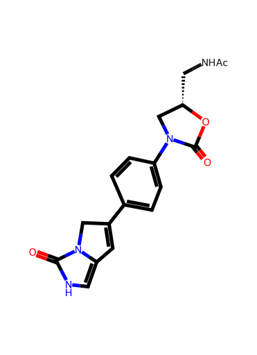 CC(=O)NC[C@H]1CN(c2ccc(C3=Cc4c[nH]c(=O)n4C3)cc2)C(=O)O1